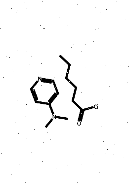 CCCCCC(=O)Cl.CN(C)c1ccncc1